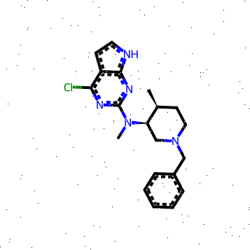 C[C@H]1CCN(Cc2ccccc2)C[C@H]1N(C)c1nc(Cl)c2cc[nH]c2n1